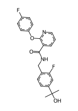 CC(C)(O)c1ccc(CNC(=O)c2cccnc2Oc2ccc(F)cc2)c(F)c1